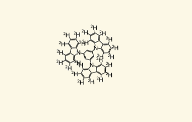 [2H]c1c([2H])c([2H])c2c(c1[2H])c1c([2H])c([2H])c([2H])c([2H])c1n2-c1cc(-n2c3c([2H])c([2H])c([2H])c([2H])c3c3c([2H])c([2H])c([2H])c([2H])c32)cc(-n2c3c([2H])c([2H])c([2H])c([2H])c3c3c([2H])c([2H])c([2H])c([2H])c32)c1